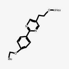 CCCCCCOCCc1cnc(-c2ccc(OCC(C)CC)cc2)nc1